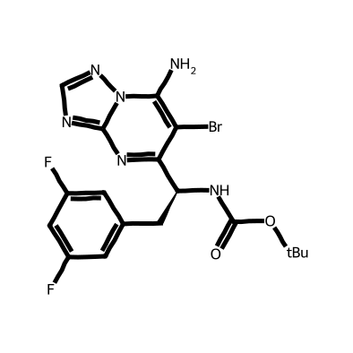 CC(C)(C)OC(=O)N[C@@H](Cc1cc(F)cc(F)c1)c1nc2ncnn2c(N)c1Br